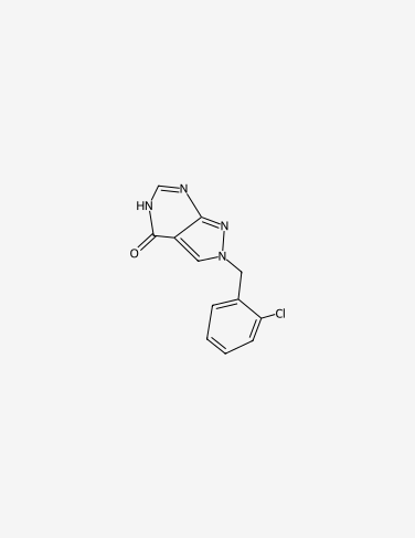 O=c1[nH]cnc2nn(Cc3ccccc3Cl)cc12